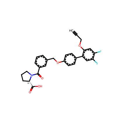 C#CCOc1cc(F)c(F)cc1-c1ccc(OCc2cccc(C(=O)N3CCC[C@H]3C(=O)O)c2)cc1